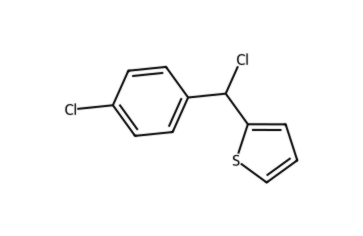 Clc1ccc(C(Cl)c2cccs2)cc1